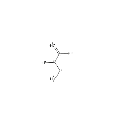 [CH]=C(F)C(F)CC